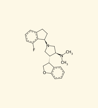 CN(C)[C@@H]1CN([C@@H]2CCc3cccc(F)c32)C[C@H]1C1COc2ccccc21